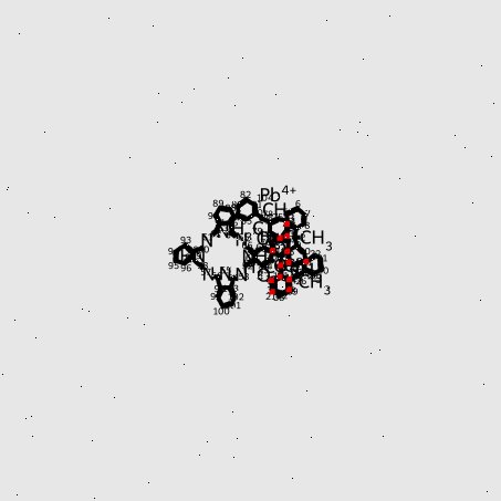 CC(C)(c1ccccc1)c1ccccc1Oc1c(Oc2ccccc2C(C)(C)c2ccccc2)c(Oc2ccccc2C(C)(C)c2ccccc2)c2c3nc4nc(nc5[nH]c(nc6nc(nc([nH]3)c2c1Oc1ccccc1C(C)(C)c1ccccc1)-c1ccccc1-6)c1ccccc51)-c1ccccc1-4.[Pb+4]